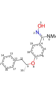 CN/C(=N\O)c1ccc(O[C@H](C)Cc2ccccc2)cc1